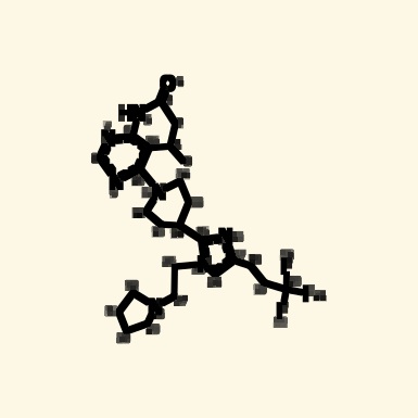 CC1CC(=O)Nc2ncnc(N3CCC(c4nc(CCC(F)(F)F)cn4CCN4CCCC4)CC3)c21